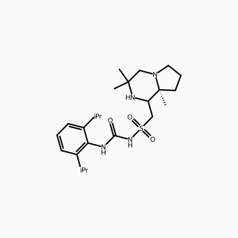 CC(C)c1cccc(C(C)C)c1NC(=O)NS(=O)(=O)CC1NC(C)(C)CN2CCC[C@@]12C